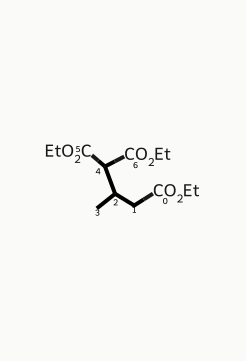 CCOC(=O)CC(C)C(C(=O)OCC)C(=O)OCC